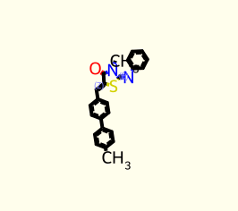 Cc1ccc(-c2ccc(/C=C3\S/C(=N/c4ccccc4)N(C)C3=O)cc2)cc1